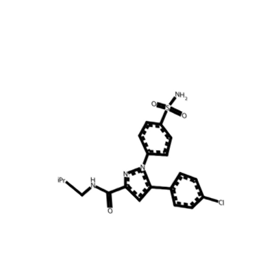 CC(C)CNC(=O)c1cc(-c2ccc(Cl)cc2)n(-c2ccc(S(N)(=O)=O)cc2)n1